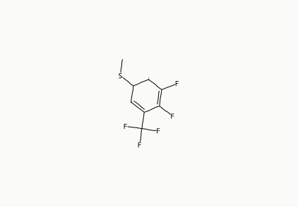 CSC1[CH]C(F)=C(F)C(C(F)(F)F)=C1